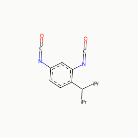 CC(C)C(c1ccc(N=C=O)cc1N=C=O)C(C)C